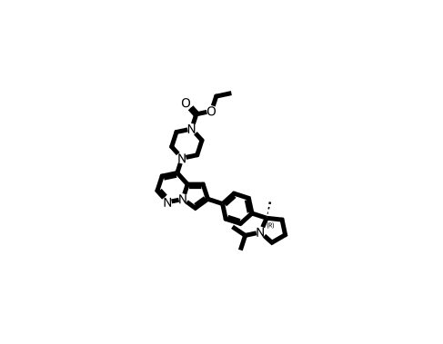 CCOC(=O)N1CCN(c2ccnn3cc(-c4ccc([C@@]5(C)CCCN5C(C)C)cc4)cc23)CC1